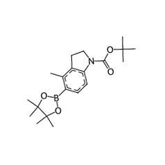 Cc1c(B2OC(C)(C)C(C)(C)O2)ccc2c1CCN2C(=O)OC(C)(C)C